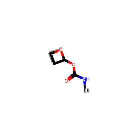 CCNC(=O)OC1[CH]CO1